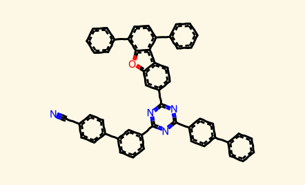 N#Cc1ccc(-c2cccc(-c3nc(-c4ccc(-c5ccccc5)cc4)nc(-c4ccc5c(c4)oc4c(-c6ccccc6)ccc(-c6ccccc6)c45)n3)c2)cc1